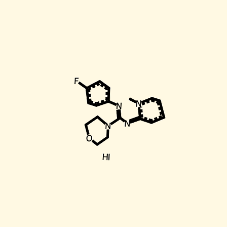 Cn1ccccc1=NC(=Nc1ccc(F)cc1)N1CCOCC1.I